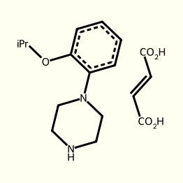 CC(C)Oc1ccccc1N1CCNCC1.O=C(O)/C=C/C(=O)O